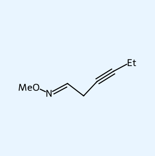 [CH2]CC#CCC=NOC